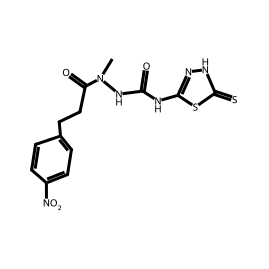 CN(NC(=O)Nc1n[nH]c(=S)s1)C(=O)CCc1ccc([N+](=O)[O-])cc1